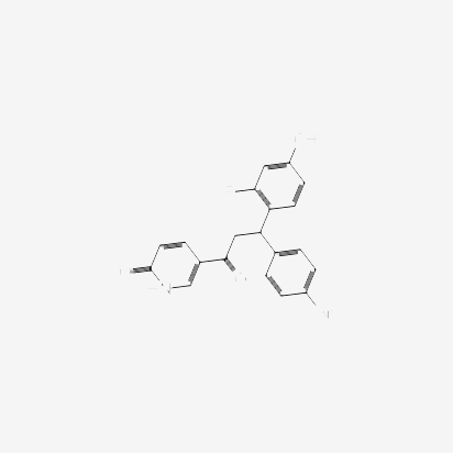 Cc1ccc(C(CC(=O)c2ccc(=O)[nH]c2)c2ccc(Br)cc2)c(F)c1